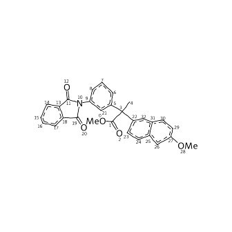 COC(=O)C(C)(c1cccc(N2C(=O)c3ccccc3C2=O)c1)c1ccc2cc(OC)ccc2c1